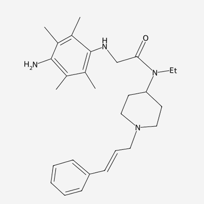 CCN(C(=O)CNc1c(C)c(C)c(N)c(C)c1C)C1CCN(CC=Cc2ccccc2)CC1